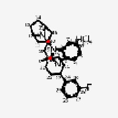 Cc1nc2ccccc2n1C1CC2CCC(C1)N2CCN1CCC(c2cccc(F)c2)CC1.Cl.Cl